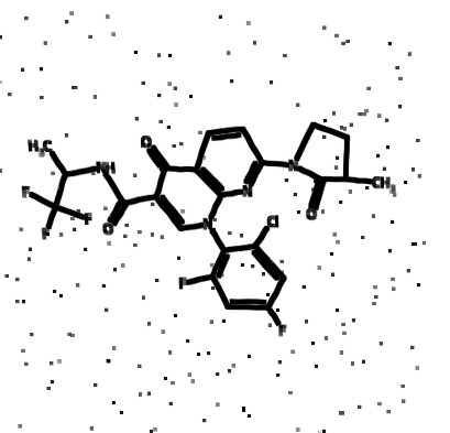 CC1CCN(c2ccc3c(=O)c(C(=O)NC(C)C(F)(F)F)cn(-c4c(F)cc(F)cc4Cl)c3n2)C1=O